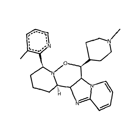 Cc1cccnc1[C@@H]1CCC[C@@H]2C3N=C4C=CC=CN4C3[C@H](C3CCN(C)CC3)ON21